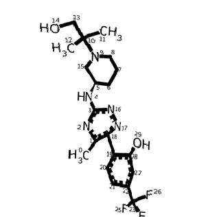 Cc1nc(N[C@@H]2CCCN(C(C)(C)CO)C2)nnc1-c1ccc(C(F)(F)F)cc1O